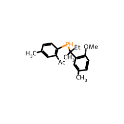 CCC(C)(Pc1ccc(C)cc1C(C)=O)c1cc(C)ccc1OC